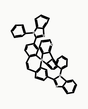 C1=Cc2ccc(-c3nc4ccccc4n3-c3ccccc3)cc2[Si]2(c3cc(-c4nc5ccccc5n4-c4ccccc4)ccc31)c1ccccc1-c1ncccc12